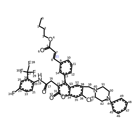 CCCCOC(=O)/C=C/c1cccc(-c2c(CC(=O)Nc3ccc(F)cc3C(F)(F)F)c(=O)oc3cc(Cl)c(CN4CCN(c5ccccc5)CC4)cc23)c1